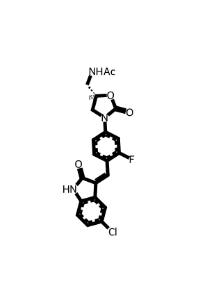 CC(=O)NC[C@H]1CN(c2ccc(C=C3C(=O)Nc4ccc(Cl)cc43)c(F)c2)C(=O)O1